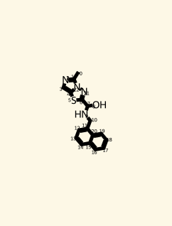 Cc1ncc2sc(C(O)NCc3cccc4ccccc34)nn12